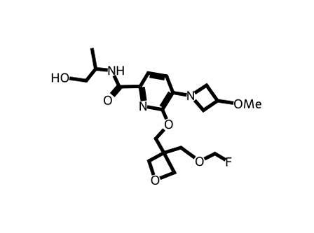 COC1CN(c2ccc(C(=O)NC(C)CO)nc2OCC2(COCF)COC2)C1